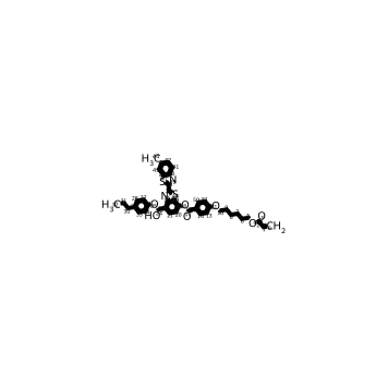 C=CC(=O)OCCCCCCOc1ccc(C(=O)Oc2ccc(C(O)Oc3ccc(CCC)cc3)c3nc(-c4nc5ccc(C)cc5s4)sc23)cc1